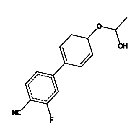 CC(O)OC1C=CC(c2ccc(C#N)c(F)c2)=CC1